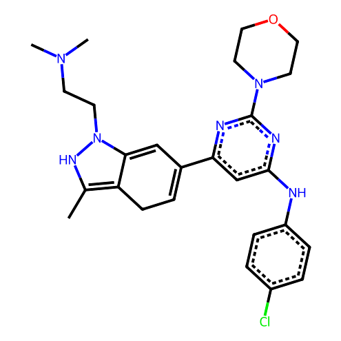 CC1=C2CC=C(c3cc(Nc4ccc(Cl)cc4)nc(N4CCOCC4)n3)C=C2N(CCN(C)C)N1